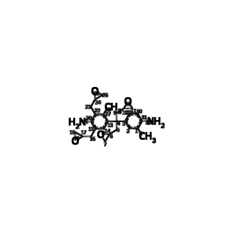 Cc1cc(C(CC2CO2)(CC2CO2)c2cc(CC3CO3)c(N)c(CC3CO3)c2C)ccc1N